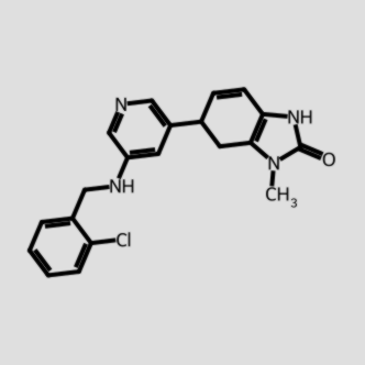 Cn1c2c([nH]c1=O)C=CC(c1cncc(NCc3ccccc3Cl)c1)C2